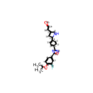 CC(C)Oc1ccc(-c2nc(-c3ccc(C4CC(CC=O)CN4)cc3)no2)cc1F